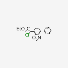 CCOC(=O)C(Cl)c1ccc(-c2ccccc2)cc1[N+](=O)[O-]